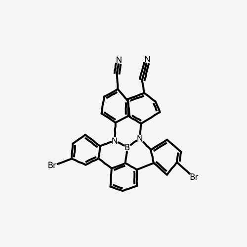 N#Cc1ccc(N2B3c4c(cccc4-c4cc(Br)ccc4N3c3ccc(C#N)cc3)-c3cc(Br)ccc32)cc1